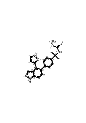 CC(C)(C)OC(=O)NC(C)(C)c1ccc(-c2ccc3[nH]ncc3c2-c2ccno2)cc1